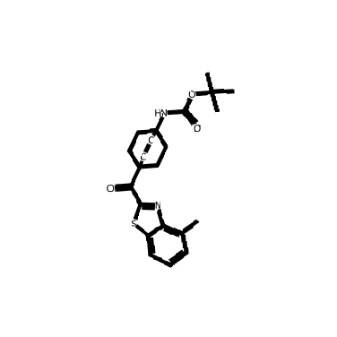 Cc1cccc2sc(C(=O)C34CCC(NC(=O)OC(C)(C)C)(CC3)CC4)nc12